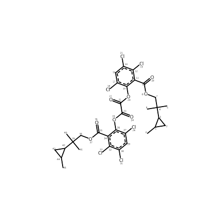 CC1CC1C(C)(C)COC(=O)c1c(Cl)c(Cl)cc(Cl)c1OC(=O)C(=O)Oc1c(Cl)cc(Cl)c(Cl)c1C(=O)OCC(C)(C)C1CC1C